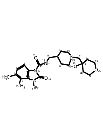 Cc1ccc2c(c1C)n(C(C)C)c(=O)n2C(=O)NCC1CCN(CC2(O)CCOCC2)CC1